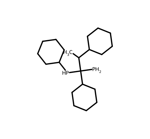 CC(C1CCCCC1)C(P)(PC1CCCCC1)C1CCCCC1